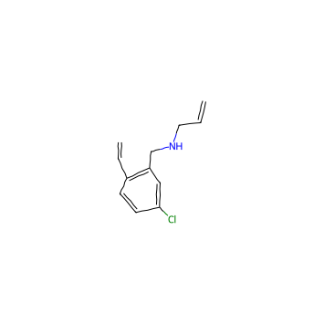 C=CCNCc1cc(Cl)ccc1C=C